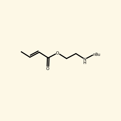 CC=CC(=O)OCCNCCCC